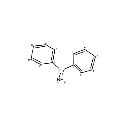 [NH2][Co]([c]1ccccc1)[c]1ccccc1